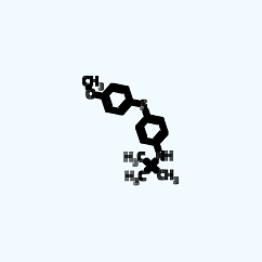 COc1ccc(Sc2ccc(NC(C)(C)C)cc2)cc1